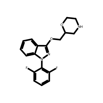 Fc1cccc(F)c1-n1nc(OCC2CNCCO2)c2ccccc21